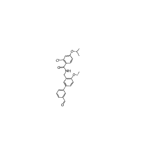 CCOc1ccc(-c2cccc(C=O)c2)cc1CNC(=O)c1ccc(OC(C)C)cc1Cl